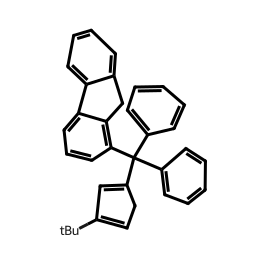 CC(C)(C)C1=CCC(C(c2ccccc2)(c2ccccc2)c2cccc3c2Cc2ccccc2-3)=C1